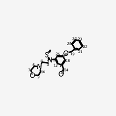 CSN(CCN1CCOCC1)c1cc(C=O)cc(OCc2ccccc2)c1